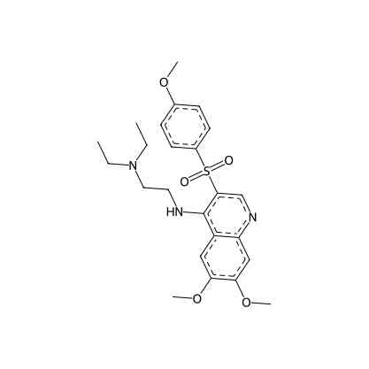 CCN(CC)CCNc1c(S(=O)(=O)c2ccc(OC)cc2)cnc2cc(OC)c(OC)cc12